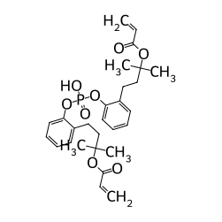 C=CC(=O)OC(C)(C)CCc1ccccc1OP(=O)(O)Oc1ccccc1CCC(C)(C)OC(=O)C=C